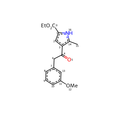 CCOC(=O)c1cc(C(=O)Cc2cccc(OC)c2)c(C)[nH]1